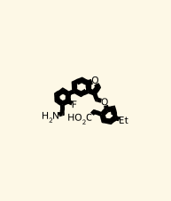 CCc1ccc(CC(=O)O)c(OCc2coc3ccc(-c4cccc(CN)c4F)cc23)c1